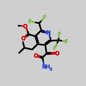 COC(=O)c1c(C(F)F)nc(C(F)(F)F)c(C(=O)C(N)=O)c1CC(C)C